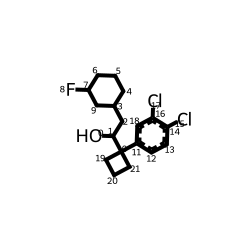 OC(CC1CCCC(F)C1)C1(c2ccc(Cl)c(Cl)c2)CCC1